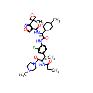 CCC(=O)N[C@@H](C(=O)N1CCN(C)CC1)[C@@H](C)c1ccc(NC(=O)[C@@H](NC(=O)c2conc2C2(C)COC2)[C@H]2CC[C@H](C)CC2)c(F)c1